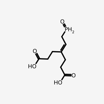 O=[PH2]CC=C(CCC(=O)O)CCC(=O)O